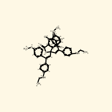 CCNc1ccc(/C(=C/C2(/C=C(/c3ccc(NCC)cc3)c3ccc(OC)cc3)OC(=O)c3c(Cl)c(Cl)c(Cl)c(Cl)c32)c2ccc(OC)cc2)cc1